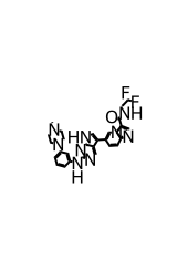 CN1CCN(c2cccc(Nc3ncc4c(-c5ccc6ncc(C(=O)NCC(F)F)n6c5)c[nH]c4n3)c2)CC1